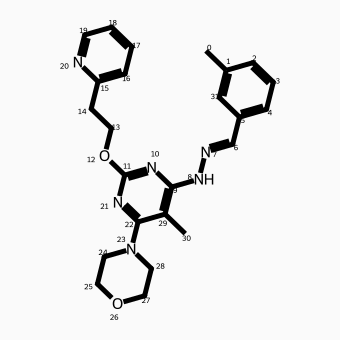 Cc1cccc(C=NNc2nc(OCCc3ccccn3)nc(N3CCOCC3)c2C)c1